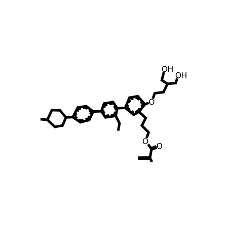 C=C(C)C(=O)OCCCc1cc(-c2ccc(-c3ccc(C4CCC(C)CC4)cc3)cc2CC)ccc1OCCC(CO)CO